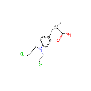 C[C@@H](Cc1ccc(N(CCCl)CCCl)cc1)C(=O)O